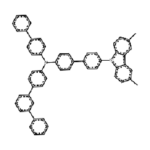 Cc1ccc2c(c1)c1cc(C)ccc1n2-c1ccc(-c2ccc(N(c3ccc(-c4ccccc4)cc3)c3ccc(-c4cccc(-c5ccccc5)c4)cc3)cc2)cc1